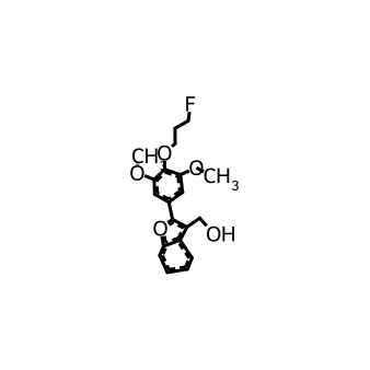 COc1cc(-c2oc3ccccc3c2CO)cc(OC)c1OCCCF